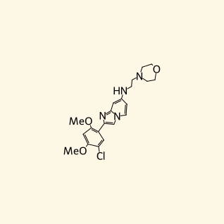 COc1cc(OC)c(-c2cn3ccc(NCCN4CCOCC4)cc3n2)cc1Cl